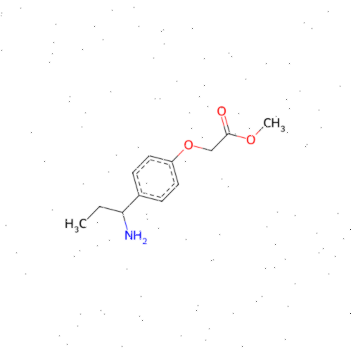 CCC(N)c1ccc(OCC(=O)OC)cc1